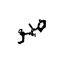 CCC(=O)NN(C)c1cccs1